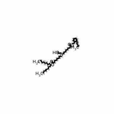 CCCCCCCCC(CCCCCCCC)OC(=O)CCCCCCCN(CCO)CCCCCCCC(=O)OCCc1ccccc1CCCC